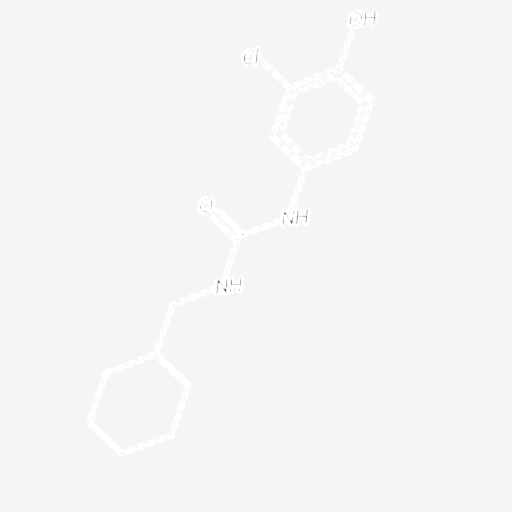 O=C(NCC1CCCCC1)Nc1ccc(O)c(Cl)c1